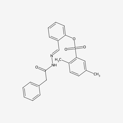 Cc1ccc(C)c(S(=O)(=O)Oc2ccccc2C=NNC(=O)Cc2ccccc2)c1